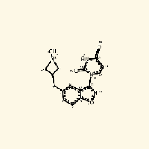 CN1CC(Cc2ccc3onc(-n4ccc(=O)[nH]c4=O)c3c2)C1